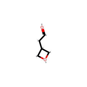 O=[C]CC1COC1